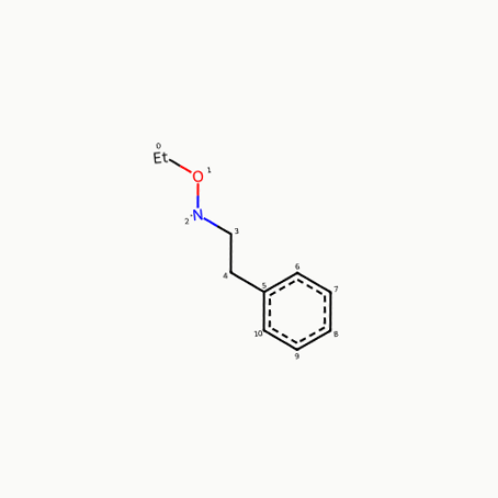 CCO[N]CCc1ccccc1